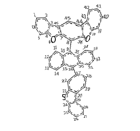 c1ccc2c(c1)oc1c(-c3c4ccccc4c(-c4ccc5c(c4)sc4ccccc45)c4ccccc34)c3oc4ccccc4c3cc12